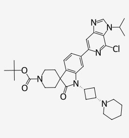 CC(C)n1cnc2cc(-c3ccc4c(c3)N([C@H]3C[C@@H](N5CCCCC5)C3)C(=O)C43CCN(C(=O)OC(C)(C)C)CC3)nc(Cl)c21